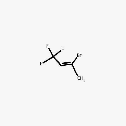 C/C(Br)=C/C(F)(F)F